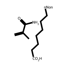 C=C(C)C(N)=O.CCCCCCCCCCCCCCCC(=O)O